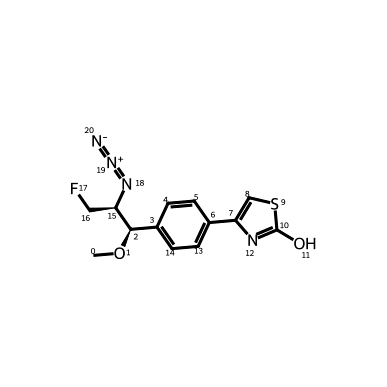 CO[C@H](c1ccc(-c2csc(O)n2)cc1)[C@@H](CF)N=[N+]=[N-]